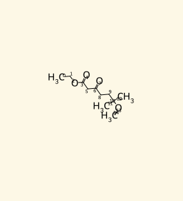 CCOC(=O)CC(=O)CCC(C)(C)OC